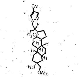 COC[C@@]1(O)CC[C@H]2[C@H](CC[C@@H]3[C@@H]2CC[C@]2(C)[C@@H](C(F)(F)Cn4cc(C#N)cn4)CC[C@@H]32)C1